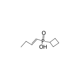 CCC=CP(=O)(O)C1CCC1